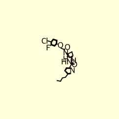 CCCCc1ccc(C(=O)N[C@@H]2CC3(NC(=O)COc4ccc(Cl)c(F)c4)CC2C3)nc1